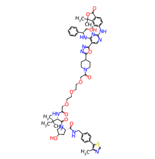 Cc1ncsc1-c1ccc(CNC(=O)[C@@H]2C[C@@H](O)CN2C(=O)[C@@H](NC(=O)COCCOCCOCC(=O)N2CCC(c3nnc(-c4cnc(Nc5ccc6c(c5)C(C)(C)OC6=O)nc4N[C@H](CO)c4ccccc4)o3)CC2)C(C)(C)C)cc1